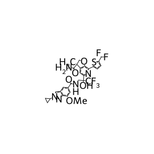 COc1cc(C(=O)NCC(O)(c2cc3c(c(-c4ccc(C(F)F)s4)n2)OC[C@]3(C)C(N)=O)C(F)(F)F)cc2cn(C3CC3)nc12